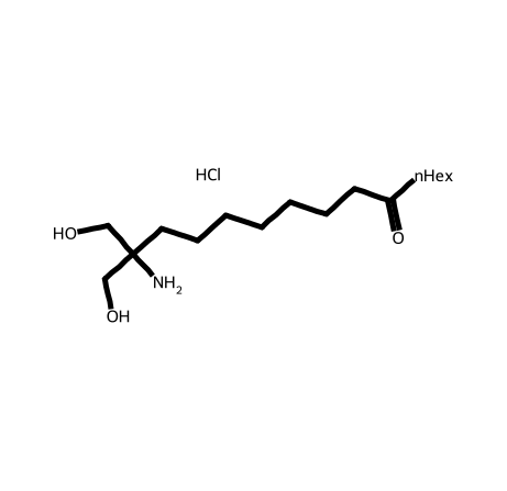 CCCCCCC(=O)CCCCCCCC(N)(CO)CO.Cl